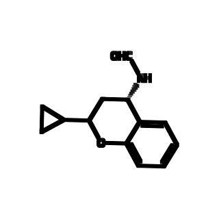 O=CN[C@H]1CC(C2CC2)Oc2ccccc21